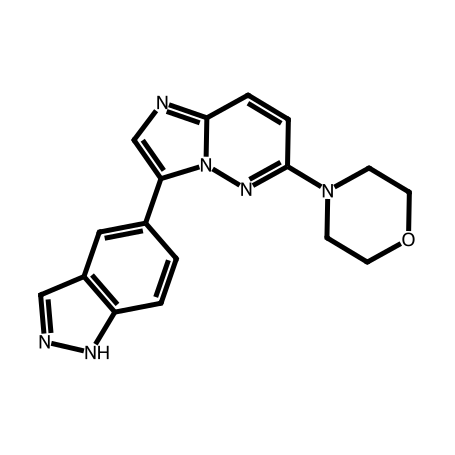 c1cc2[nH]ncc2cc1-c1cnc2ccc(N3CCOCC3)nn12